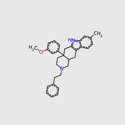 COc1cccc(C23CCN(CCc4ccccc4)CC2Cc2c([nH]c4cc(C)ccc24)C3)c1